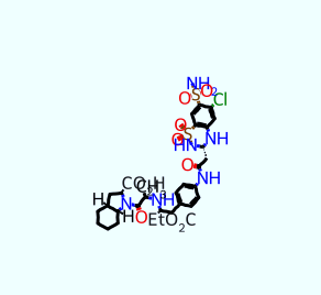 CCOC(=O)[C@H](Cc1ccc(NC(=O)C[C@H]2Nc3cc(Cl)c(S(N)(=O)=O)cc3S(=O)(=O)N2)cc1)NC(C)C(=O)N1[C@@H]2CCCC[C@@H]2C[C@H]1C(=O)O